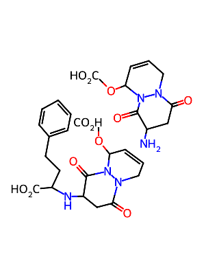 NC1CC(=O)N2CC=CC(OC(=O)O)N2C1=O.O=C(O)OC1C=CCN2C(=O)CC(NC(CCc3ccccc3)C(=O)O)C(=O)N12